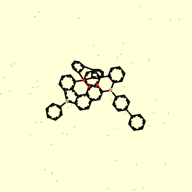 c1ccc(-c2ccc(N(c3cc4c5c(ccc6c5c5c(cccc5n6-c5ccccc5)C45c4ccccc4-c4ccccc45)c3)c3ccccc3-c3ccccc3)cc2)cc1